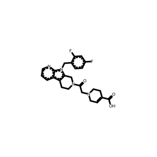 O=C(O)C1=CCN(CC(=O)N2CCc3c(n(Cc4ccc(F)cc4F)c4ncccc34)C2)CC1